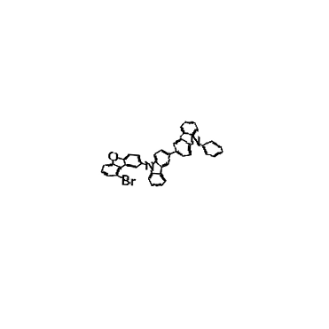 Brc1cccc2oc3ccc(-n4c5ccccc5c5cc(-c6ccc7c(c6)c6ccccc6n7-c6ccccc6)ccc54)cc3c12